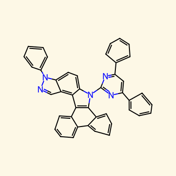 c1ccc(-c2cc(-c3ccccc3)nc(-n3c4ccc5c(cnn5-c5ccccc5)c4c4c5ccccc5c5ccccc5c43)n2)cc1